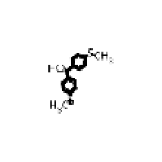 CSc1ccc(C(O)c2ccc(SC)cc2)cc1